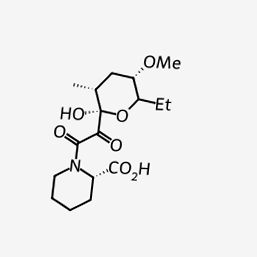 CCC1O[C@@](O)(C(=O)C(=O)N2CCCC[C@H]2C(=O)O)[C@H](C)C[C@@H]1OC